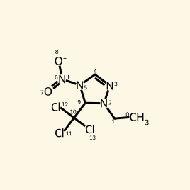 CCN1N=CN([N+](=O)[O-])C1C(Cl)(Cl)Cl